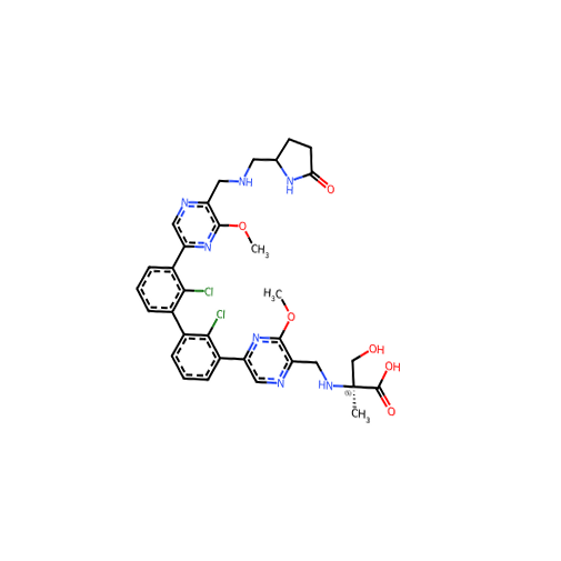 COc1nc(-c2cccc(-c3cccc(-c4cnc(CN[C@@](C)(CO)C(=O)O)c(OC)n4)c3Cl)c2Cl)cnc1CNCC1CCC(=O)N1